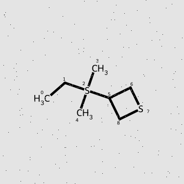 CCS(C)(C)C1CSC1